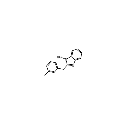 CC(C)(C)n1c(Cc2cccc(F)c2)nc2ccccc21